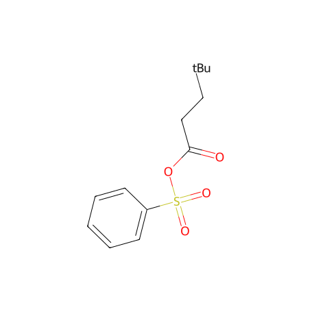 CC(C)(C)CCC(=O)OS(=O)(=O)c1ccccc1